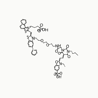 CCCCN1C(=O)C(=CC=C2Oc3ccc(S(=O)(=O)O)cc3N2CC)C(=O)N(CC(=O)NCCOCCOCCN2C(=Cc3sc4ccc5ccccc5c4[n+]3CCCS(=O)(=O)O)Sc3ccc(-c4ccccc4)cc32)C1=O